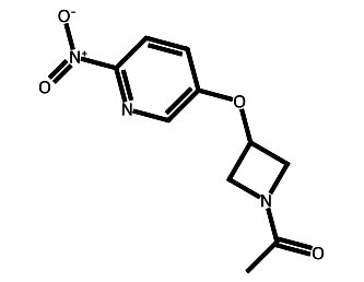 CC(=O)N1CC(Oc2ccc([N+](=O)[O-])nc2)C1